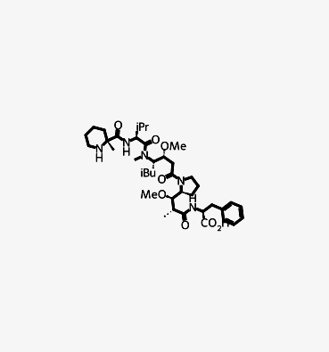 CCC(C)[C@@H]([C@@H](CC(=O)N1CCC[C@H]1[C@H](OC)[C@@H](C)C(=O)N[C@@H](Cc1ccccc1)C(=O)O)OC)N(C)C(=O)[C@@H](NC(=O)[C@@]1(C)CCCCN1)C(C)C